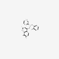 O=c1cc(CN(Cc2ccccc2Cl)c2cnccn2)c2ccc(F)c(F)c2[nH]1